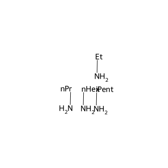 [CH2]CCC(C)N.[CH2]CCCCCN.[CH2]CCN.[CH2]CN